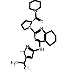 CC(C)c1cc(Nc2nc(N3CCC[C@H]3C(=O)N3CCCCC3)nc3c2CCCC3)n[nH]1